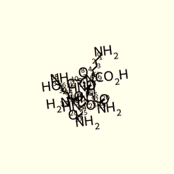 NCCCC[C@H](NC(=O)[C@H](CC(=O)O)NC(=O)[C@H](CCC(N)=O)NC(=O)[C@H](CC(N)=O)NC(=O)[C@@H](N)CCCCN)C(=O)O